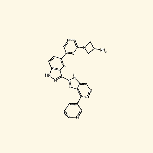 NC1CN(c2cncc(-c3ccc4[nH]nc(-c5nc6c(-c7cccnc7)cncc6[nH]5)c4n3)n2)C1